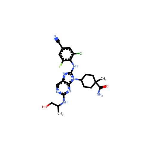 CC(CO)Nc1ncc2nc(Nc3c(F)cc(C#N)cc3Cl)n(C3CCC(C)(C(N)=O)CC3)c2n1